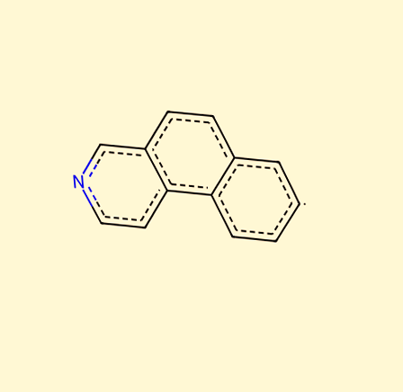 [c]1ccc2c(c1)ccc1cnccc12